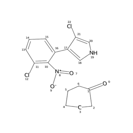 O=C1CCCCC1.O=[N+]([O-])c1c(Cl)cccc1-c1c[nH]cc1Cl